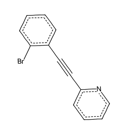 Brc1ccccc1C#Cc1ccccn1